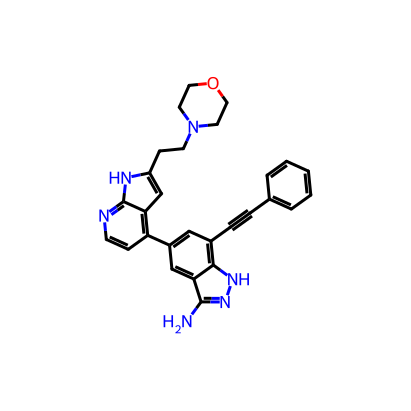 Nc1n[nH]c2c(C#Cc3ccccc3)cc(-c3ccnc4[nH]c(CCN5CCOCC5)cc34)cc12